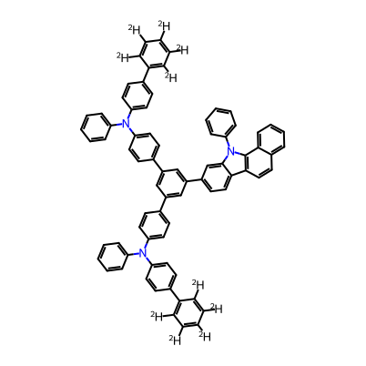 [2H]c1c([2H])c([2H])c(-c2ccc(N(c3ccccc3)c3ccc(-c4cc(-c5ccc(N(c6ccccc6)c6ccc(-c7c([2H])c([2H])c([2H])c([2H])c7[2H])cc6)cc5)cc(-c5ccc6c7ccc8ccccc8c7n(-c7ccccc7)c6c5)c4)cc3)cc2)c([2H])c1[2H]